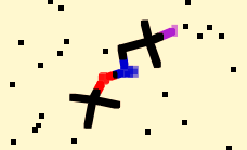 CC(C)(I)CNOC(C)(C)C